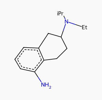 CCN(C(C)C)C1CCc2c(N)cccc2C1